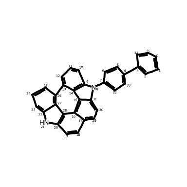 c1ccc(-c2ccc(-n3c4cccc5c4c4c6c(ccc7[nH]c8cccc-5c8c76)ccc43)cc2)cc1